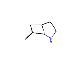 CC1CC2CCNC12